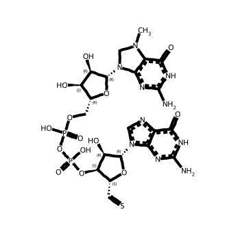 CN1CN([C@@H]2O[C@H](COP(=O)(O)OP(=O)(O)O[C@H]3[C@@H](O)[C@H](n4cnc5c(=O)[nH]c(N)nc54)O[C@@H]3C=S)[C@@H](O)[C@H]2O)c2nc(N)[nH]c(=O)c21